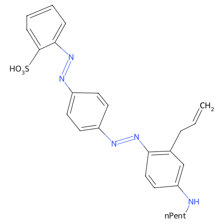 C=CCc1cc(NCCCCC)ccc1N=Nc1ccc(N=Nc2ccccc2S(=O)(=O)O)cc1